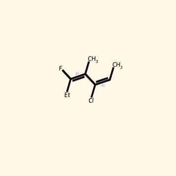 C/C=C(Cl)\C(C)=C(\F)CC